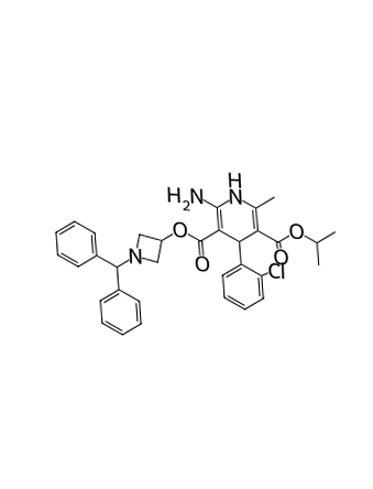 CC1=C(C(=O)OC(C)C)C(c2ccccc2Cl)C(C(=O)OC2CN(C(c3ccccc3)c3ccccc3)C2)=C(N)N1